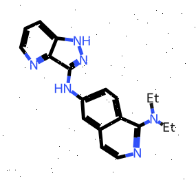 CCN(CC)c1nccc2cc(Nc3n[nH]c4cccnc34)ccc12